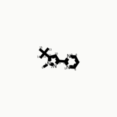 Cn1nc(-c2ncccn2)cc1C(C)(C)C